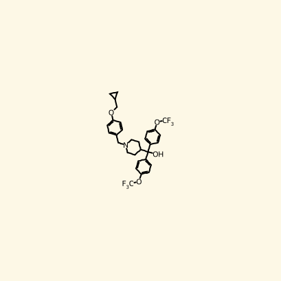 OC(c1ccc(OC(F)(F)F)cc1)(c1ccc(OC(F)(F)F)cc1)C1CCN(Cc2ccc(OCC3CC3)cc2)CC1